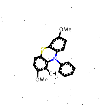 COc1ccc2c(c1)Sc1ccc(OC)c(C)c1N2c1ccccc1